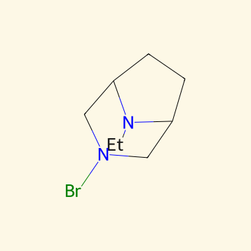 CCN1C2CCC1CN(Br)C2